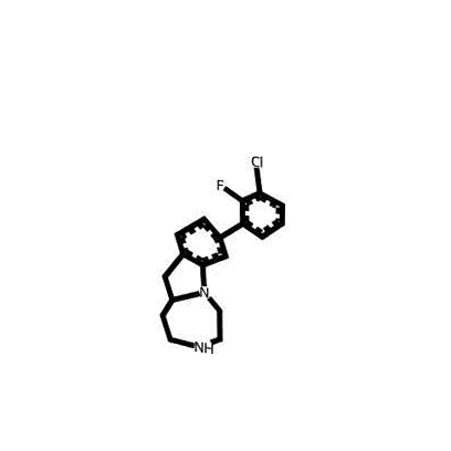 Fc1c(Cl)cccc1-c1ccc2c(c1)N1CCNCCC1C2